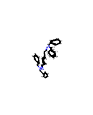 C(/CCCC/C=N/N(Cc1ccccc1)Cc1ccccc1)=N\N(Cc1ccccc1)Cc1ccccc1